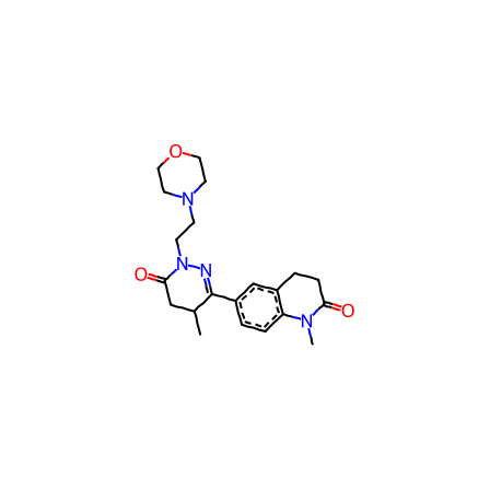 CC1CC(=O)N(CCN2CCOCC2)N=C1c1ccc2c(c1)CCC(=O)N2C